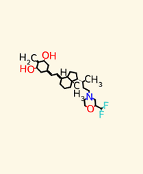 C=C1[C@H](O)CC(=CC=C2CCC[C@]3(C)[C@@H](C(C)CCN4CCOC(C(F)F)C4)CC[C@@H]23)C[C@H]1O